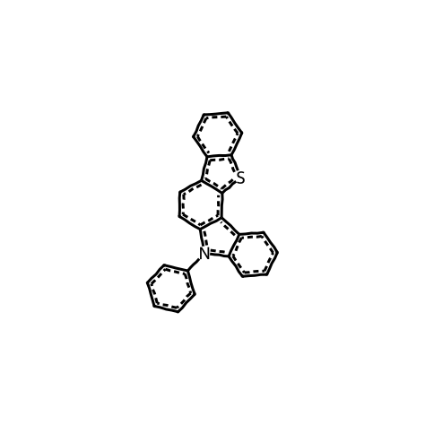 c1ccc(-n2c3ccccc3c3c4sc5ccccc5c4ccc32)cc1